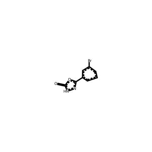 O=c1[nH]nc(-c2cccc(Br)c2)o1